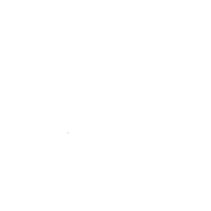 [CH](CC1CCCCC1)C1CC1